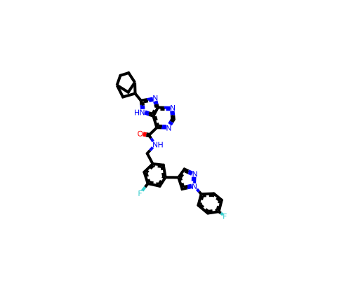 O=C(NCc1cc(F)cc(-c2cnn(-c3ccc(F)cc3)c2)c1)c1ncnc2nc(C3CC4CCC3C4)[nH]c12